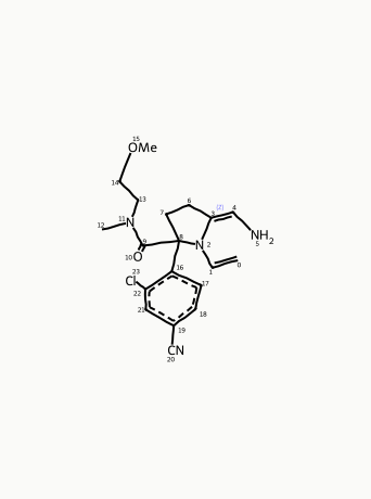 C=CN1/C(=C\N)CCC1(C(=O)N(C)CCOC)c1ccc(C#N)cc1Cl